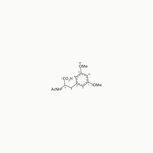 COc1cc(CC(NC(C)=O)C(=O)O)cc(OC)c1